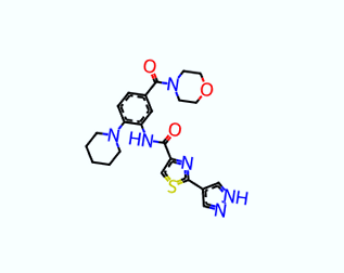 O=C(Nc1cc(C(=O)N2CCOCC2)ccc1N1CCCCC1)c1csc(-c2cn[nH]c2)n1